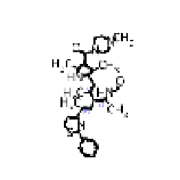 C/C(NC=O)=C(\C=C(/C)C1=CCSC(c2ccccc2)=N1)C(/C)=C/c1[nH]c(C)c(C(=O)N2CCN(C)CC2)c1C